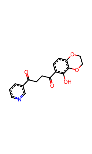 O=C(CCC(=O)c1ccc2c(c1O)OCCO2)c1cccnc1